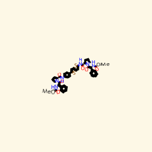 COC(=O)N[C@@H](C(=O)N1CCC[C@H]1C(=O)Nc1ccc(-c2cc3sc(NC(=O)[C@@H]4CCCN4C(=O)[C@H](NC(=O)OC)c4ccccc4)cc3s2)cc1)c1ccccc1